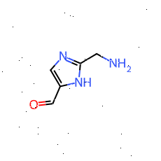 NCc1ncc(C=O)[nH]1